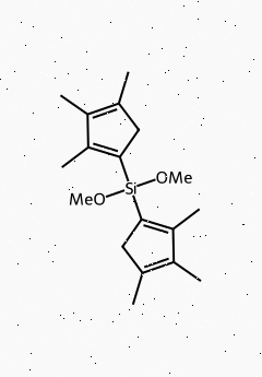 CO[Si](OC)(C1=C(C)C(C)=C(C)C1)C1=C(C)C(C)=C(C)C1